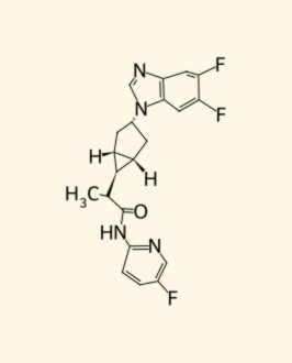 CC(C(=O)Nc1ccc(F)cn1)[C@H]1[C@@H]2C[C@H](n3cnc4cc(F)c(F)cc43)C[C@@H]21